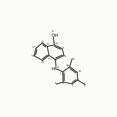 Cc1cc(C)c(Nc2ccc(O)c3ccccc23)c(C)c1